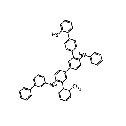 CC1C=CC=CC1c1cc(-c2ccc(Nc3ccccc3)c(-c3ccc(-c4ccccc4S)cc3)c2)ccc1Nc1cccc(-c2ccccc2)c1